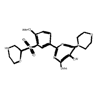 COc1ccc(-c2nc(SC)c(C#N)c(N3CCOCC3)n2)cc1S(=O)(=O)C1CNCCO1